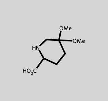 COC1(OC)CCC(C(=O)O)NC1